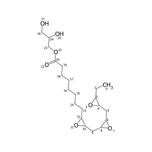 CCC1OC1CC1OC1CC1OC1CCCCCCCC(=O)OCC(O)CO